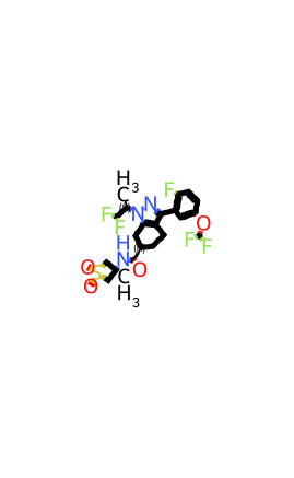 C[C@@H](C(F)F)n1nc(-c2cc(OC(F)F)ccc2F)c2c1C[C@H](C(=O)NC1(C)CS(=O)(=O)C1)CC2